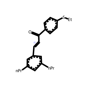 CCCc1cc(/C=C/C(=O)c2ccc(SCC)cc2)cc(CCC)c1